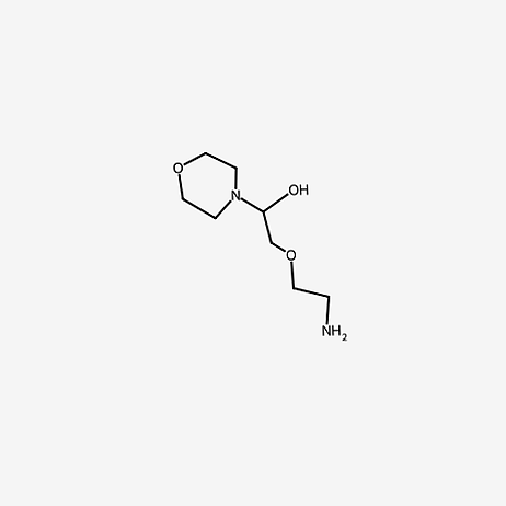 NCCOCC(O)N1CCOCC1